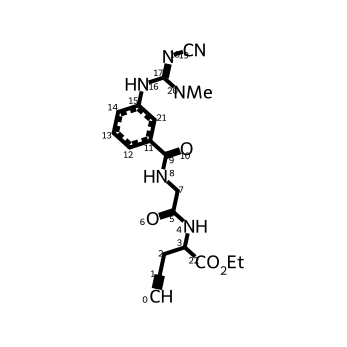 C#CCC(NC(=O)CNC(=O)c1cccc(N/C(=N/C#N)NC)c1)C(=O)OCC